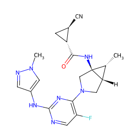 C[C@@H]1[C@@H]2CN(c3nc(Nc4cnn(C)c4)ncc3F)C[C@]12NC(=O)[C@@H]1C[C@H]1C#N